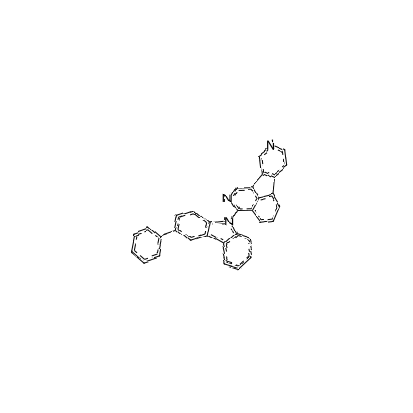 c1ccc(-c2ccc3c(c2)c2ccccc2n3-c2ncc3c4c(cccc24)-c2ccncc2-3)cc1